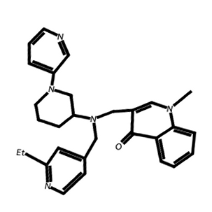 CCc1cc(CN(Cc2cn(C)c3ccccc3c2=O)C2CCCN(c3cccnc3)C2)ccn1